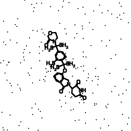 Bc1cc(C(B)(B)N2CCOCC2=O)ccc1C(B)(B)Oc1cccc2c1CN(C1CCC(=O)NC1=O)C2=O